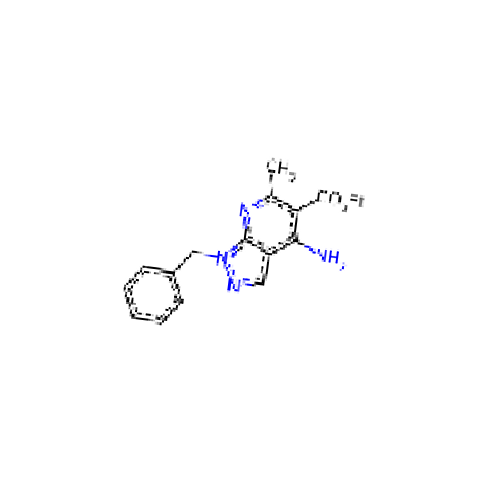 CCOC(=O)c1c(C)nc2c(cnn2Cc2ccccc2)c1N